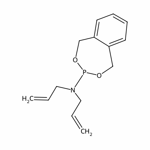 C=CCN(CC=C)P1OCc2ccccc2CO1